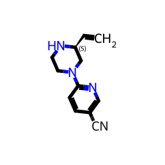 C=C[C@H]1CN(c2ccc(C#N)cn2)CCN1